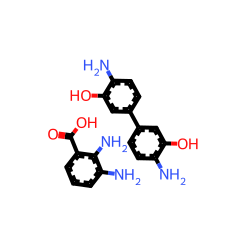 Nc1ccc(-c2ccc(N)c(O)c2)cc1O.Nc1cccc(C(=O)O)c1N